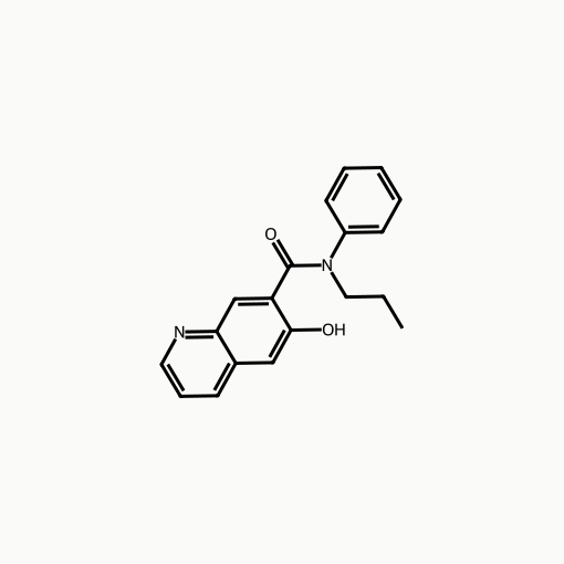 CCCN(C(=O)c1cc2ncccc2cc1O)c1ccccc1